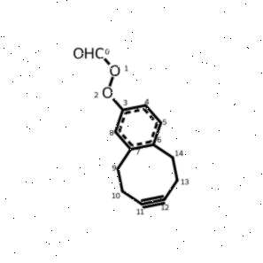 O=COOc1ccc2c(c1)CCC#CCC2